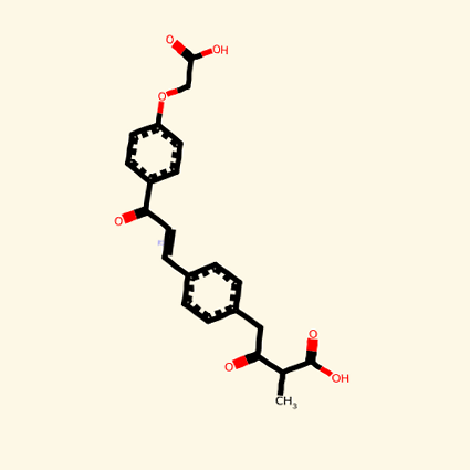 CC(C(=O)O)C(=O)Cc1ccc(/C=C/C(=O)c2ccc(OCC(=O)O)cc2)cc1